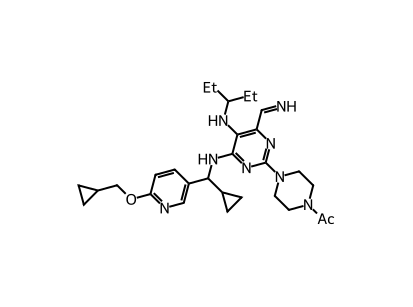 CCC(CC)Nc1c(C=N)nc(N2CCN(C(C)=O)CC2)nc1NC(c1ccc(OCC2CC2)nc1)C1CC1